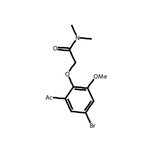 COc1cc(Br)cc(C(C)=O)c1OCC(=O)N(C)C